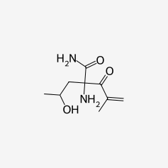 C=C(C)C(=O)C(N)(CC(C)O)C(N)=O